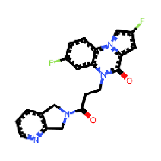 O=C(CCn1c(=O)c2cc(F)cn2c2ccc(F)cc21)N1Cc2cccnc2C1